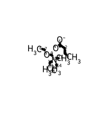 CCCC(=O)[O-].CCOC[N+](C)(CC)CC